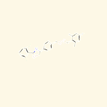 Cc1cc(C)c(CSSCc2ccc(C3COC(c4c(F)cccc4F)=N3)cc2)c(C)c1